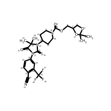 CC1(C)OCC(COC(=O)N2CCC(N3C(=S)N(c4ccc(C#N)c(C(F)(F)F)c4)C(=O)C3(C)C)CC2)O1